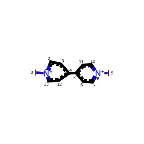 I[n+]1ccc(-c2cc[n+](I)cc2)cc1